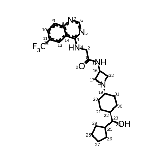 O=C(CNc1ncnc2ccc(C(F)(F)F)cc12)NC1CN([C@H]2CC[C@H](C(O)C3CCCC3)CC2)C1